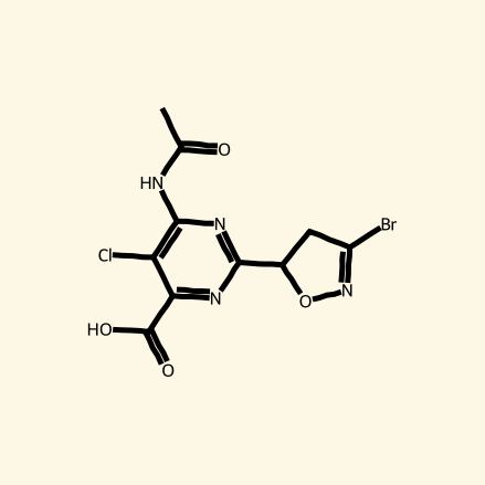 CC(=O)Nc1nc(C2CC(Br)=NO2)nc(C(=O)O)c1Cl